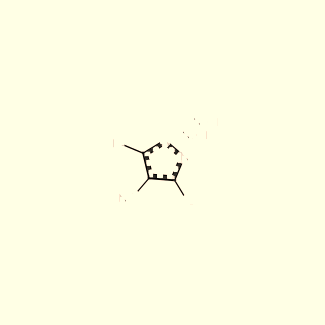 N#Cc1c(S)nsc1S.[NaH].[NaH]